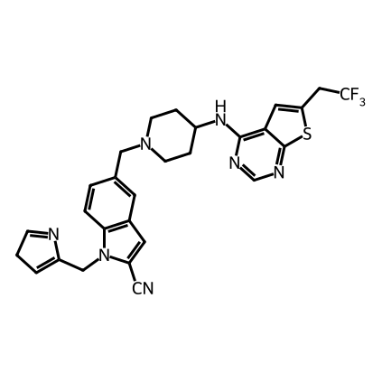 N#Cc1cc2cc(CN3CCC(Nc4ncnc5sc(CC(F)(F)F)cc45)CC3)ccc2n1CC1=CCC=N1